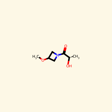 COC1CN(C(=O)[C@H](C)O)C1